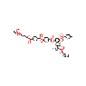 [C-]#[N+]/C(C(=O)OC[C@H](C)CC)=C1/Sc2c(OC(=O)C3CCC(C)CC3)ccc(OC(=O)C3CCC(OC(=O)C4CCC(C(=O)OCCCCOC(=O)C=C)CC4)CC3)c2S1